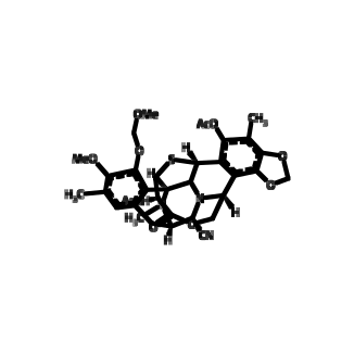 COCOc1c(OC)c(C)cc2c1[C@@H]1C3[C@@H]4SC[C@H](NC(C)=O)C(=O)OC[C@@H](c5c6c(c(C)c(OC(C)=O)c54)OCO6)N3[C@@H](C#N)[C@H](C2)N1C